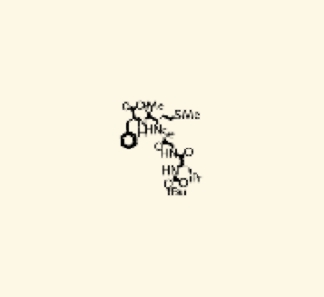 COC(=O)[C@H](Cc1ccccc1)NC(=O)[C@H](CCSC)N[Se]C(=O)CNC(=O)[C@H](CC(C)C)NC(=O)OC(C)(C)C